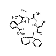 COC(=O)c1ccccc1NC(=CO)[C@H](CC(C)C)NC(=CO)CNC(=CO)C(=O)CC1c2ccccc2-c2ccccc21